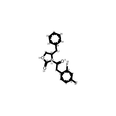 O=C(Cc1ccc(F)cc1F)N1C(=O)OCC1Cc1ccccc1